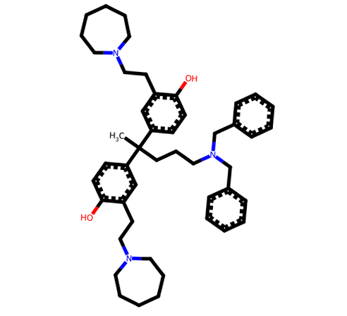 CC(CCCN(Cc1ccccc1)Cc1ccccc1)(c1ccc(O)c(CCN2CCCCCC2)c1)c1ccc(O)c(CCN2CCCCCC2)c1